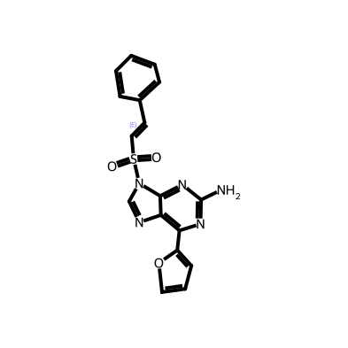 Nc1nc(-c2ccco2)c2ncn(S(=O)(=O)/C=C/c3ccccc3)c2n1